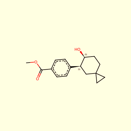 COC(=O)c1ccc([C@@H]2CC3(CC[C@@H]2O)CC3)cc1